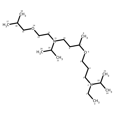 CCN(CCCOC(C)CCN(CCOCC(C)C)C(C)C)C(C)C